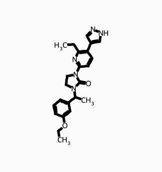 CCOc1cccc(C(C)N2CCN(c3ccc(-c4cn[nH]c4)c(CC)n3)C2=O)c1